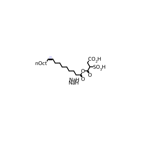 CCCCCCCC/C=C\CCCCCCCC(=O)OC(=O)C(CC(=O)O)S(=O)(=O)O.[NaH].[NaH]